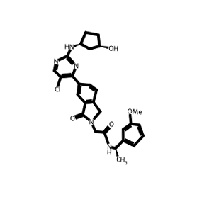 COc1cccc([C@@H](C)NC(=O)CN2Cc3ccc(-c4nc(N[C@H]5CC[C@@H](O)C5)ncc4Cl)cc3C2=O)c1